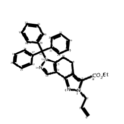 C=CCn1nc2c(c1C(=O)OCC)CCc1c-2cnn1C(c1ccccc1)(c1ccccc1)c1ccccc1